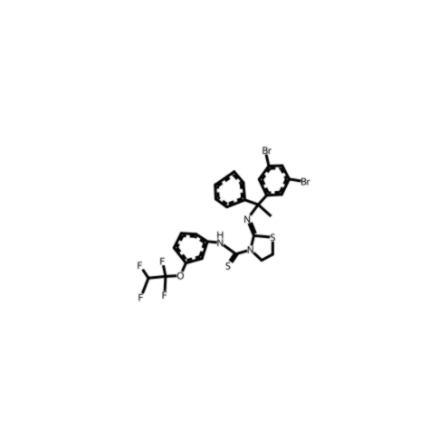 CC(N=C1SCCN1C(=S)Nc1cccc(OC(F)(F)C(F)F)c1)(c1ccccc1)c1cc(Br)cc(Br)c1